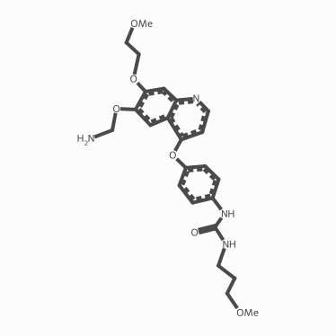 COCCCNC(=O)Nc1ccc(Oc2ccnc3cc(OCCOC)c(OCN)cc23)cc1